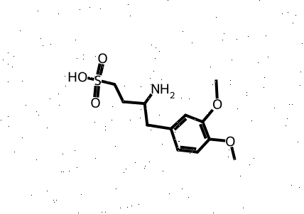 COc1ccc(CC(N)CCS(=O)(=O)O)cc1OC